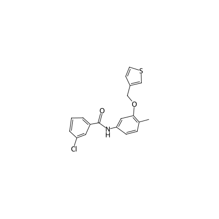 Cc1ccc(NC(=O)c2cccc(Cl)c2)cc1OCc1ccsc1